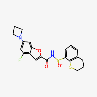 O=C(N[S+]([O-])c1cccc2c1SCCC2)c1cc2c(F)cc(N3CCC3)cc2o1